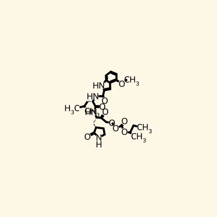 CCC(C)OC(=O)OOCC(=O)[C@H](C[C@@H]1CCNC1=O)NC(=O)[C@H](CC(C)C)NC(=O)c1cc2c(OC)cccc2[nH]1